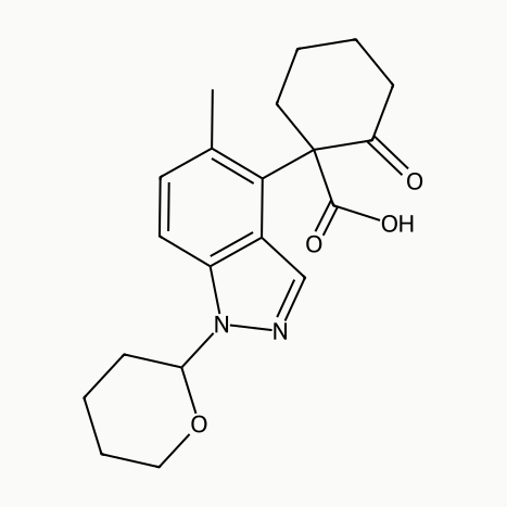 Cc1ccc2c(cnn2C2CCCCO2)c1C1(C(=O)O)CCCCC1=O